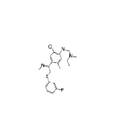 CCN(C)/C=N\c1cc(C)c(/C(CSc2cccc(F)c2)=N/C)cc1Cl